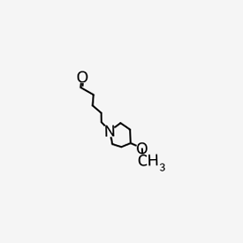 COC1CCN(CCCCC=O)CC1